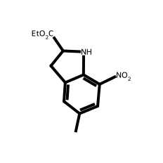 CCOC(=O)C1Cc2cc(C)cc([N+](=O)[O-])c2N1